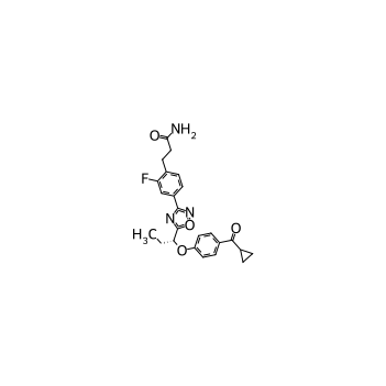 CC[C@@H](Oc1ccc(C(=O)C2CC2)cc1)c1nc(-c2ccc(CCC(N)=O)c(F)c2)no1